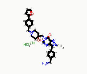 Cl.Cl.Cn1nc2c(=O)n(CC3(O)CCN(Cc4ccc(-c5ccco5)cc4)CC3)cnc2c1-c1ccc(CN)cc1